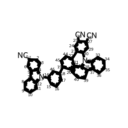 N#Cc1ccc2c(c1)c1ccccc1n2-c1cccc(-c2ccc(-c3cc(C#N)c(C#N)cc3-n3c4ccccc4c4ccccc43)cc2)c1